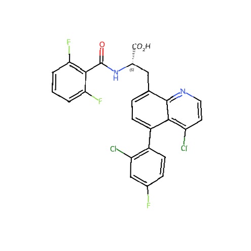 O=C(N[C@@H](Cc1ccc(-c2ccc(F)cc2Cl)c2c(Cl)ccnc12)C(=O)O)c1c(F)cccc1F